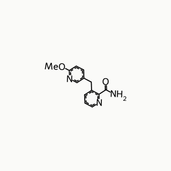 COc1ccc(Cc2cccnc2C(N)=O)cn1